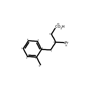 Cc1ccccc1CC(CC(=O)O)C(C)C